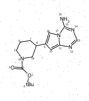 CC(C)(C)OC(=O)N1CCCC(c2cc3ncnc(N)n3c2)C1